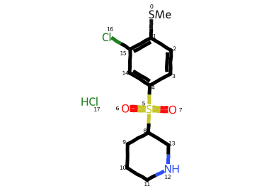 CSc1ccc(S(=O)(=O)C2CCCNC2)cc1Cl.Cl